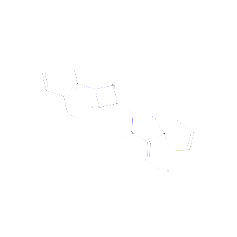 C=CC1=C(C(=O)O)N2C(=O)C(NC(=O)/C(=N/OC(C)=O)C3(N)NC=CS3)[C@H]2SC1